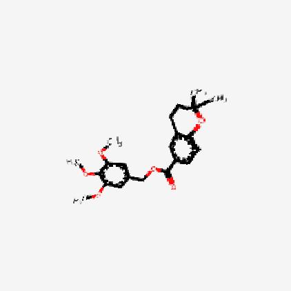 COc1cc(COC(=O)c2ccc3c(c2)CCC(C)(C)O3)cc(OC)c1OC